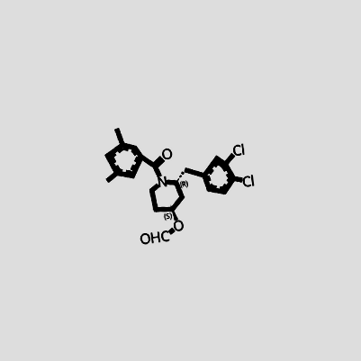 Cc1cc(C)cc(C(=O)N2CC[C@H](OC=O)C[C@H]2Cc2ccc(Cl)c(Cl)c2)c1